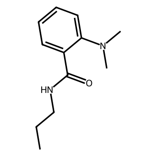 CCCNC(=O)c1ccccc1N(C)C